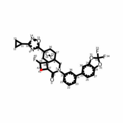 O=C(N(CC12CCC(c3nc(C4CC4)no3)(CC1)CC2)c1cccc(-c2ccc3c(c2)OC(F)(F)O3)c1)C12CC(F)(C1)C2